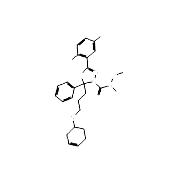 CON(C)C(=O)N1N=C(c2cc(F)ccc2F)SC1(CCCNC1CC=CCC1)c1ccccc1